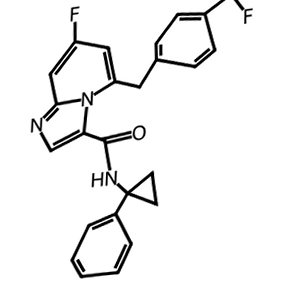 O=C(NC1(c2ccccc2)CC1)c1cnc2cc(F)cc(Cc3ccc(C(F)(F)F)cc3)n12